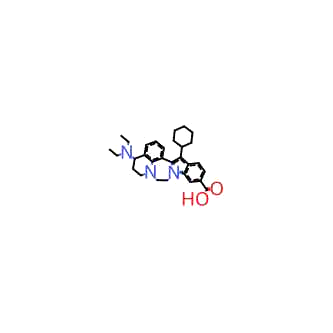 CCN(CC)[C@@H]1CCN2CCn3c(c(C4CCCCC4)c4ccc(C(=O)O)cc43)-c3cccc1c32